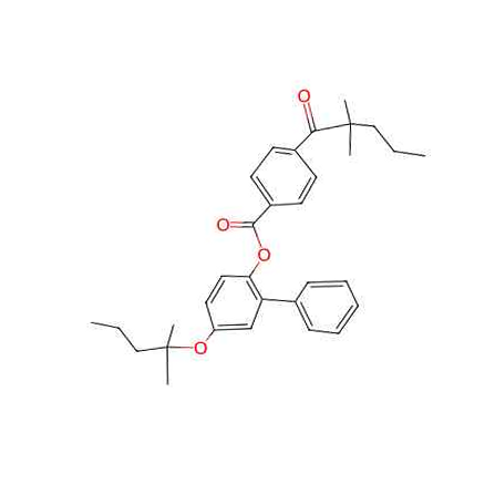 CCCC(C)(C)Oc1ccc(OC(=O)c2ccc(C(=O)C(C)(C)CCC)cc2)c(-c2ccccc2)c1